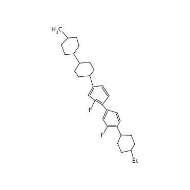 CCC1CCC(c2ccc(-c3ccc(C4CCC(C5CCC(C)CC5)CC4)cc3F)cc2F)CC1